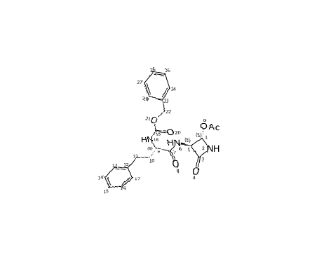 CC(=O)O[C@@H]1NC(=O)[C@H]1NC(=O)[C@H](CCc1ccccc1)NC(=O)OCc1ccccc1